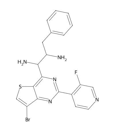 NC(Cc1ccccc1)C(N)c1nc(-c2ccncc2F)nc2c(Br)csc12